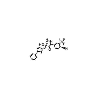 CC(O)(Cn1ccc(-c2ccccc2)n1)C(=O)Nc1ccc(C#N)c(C(F)(F)F)c1